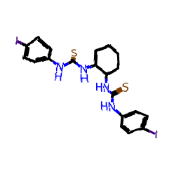 S=C(Nc1ccc(I)cc1)NC1CCCCC1NC(=S)Nc1ccc(I)cc1